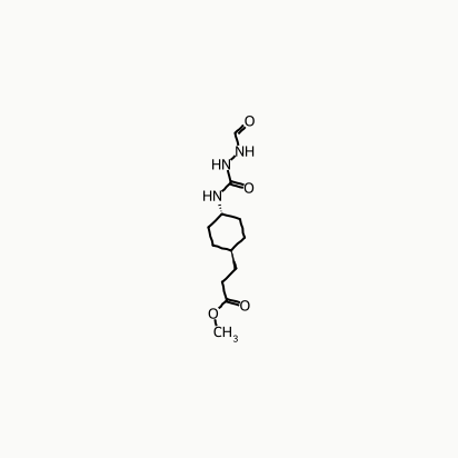 COC(=O)CC[C@H]1CC[C@H](NC(=O)NNC=O)CC1